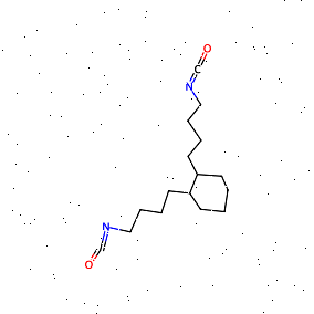 O=C=NCCCCC1CCCCC1CCCCN=C=O